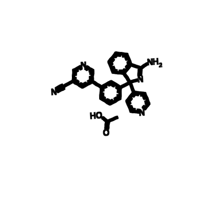 CC(=O)O.N#Cc1cncc(-c2cccc(C3(c4ccncc4)N=C(N)c4ccccc43)c2)c1